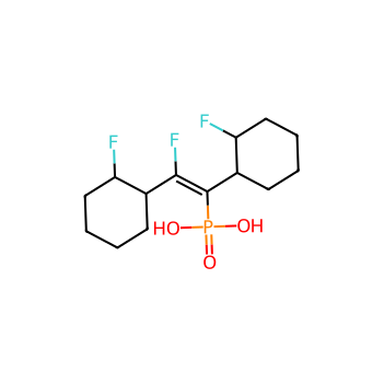 O=P(O)(O)C(=C(F)C1CCCCC1F)C1CCCCC1F